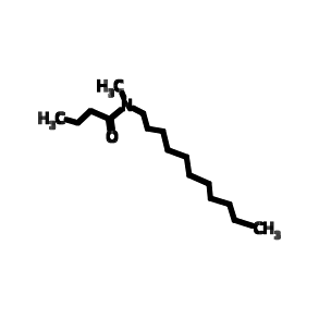 CCCCCCCCCCCN(C)C(=O)CCC